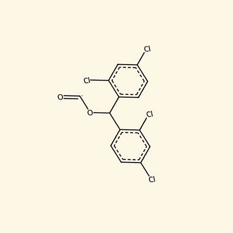 O=[C]OC(c1ccc(Cl)cc1Cl)c1ccc(Cl)cc1Cl